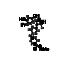 CNOC(=O)N1CCN(Cc2ccc(-c3c(-c4cc(C(C)C)c(O)cc4O)n[nH]c3C)cc2)CC1